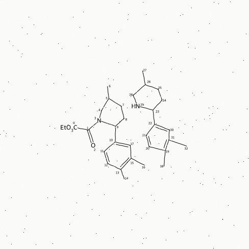 CCOC(=O)C(=O)N1CC(C)CCC1c1ccc(C)c(C)c1.Cc1ccc(C2CCC(C)CN2)cc1C